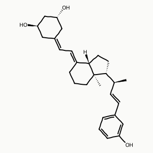 C[C@@H](/C=C/c1cccc(O)c1)[C@H]1CC[C@H]2/C(=C/C=C3C[C@@H](O)C[C@H](O)C3)CCC[C@]12C